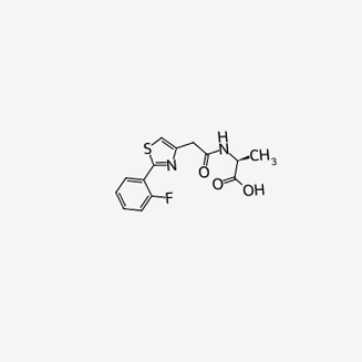 C[C@H](NC(=O)Cc1csc(-c2ccccc2F)n1)C(=O)O